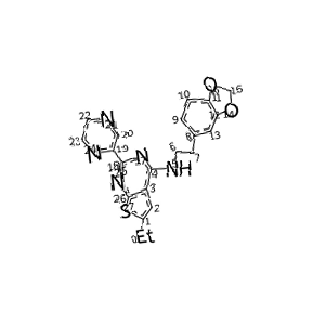 CCc1cc2c(NCCc3ccc4c(c3)OCO4)nc(-c3cnccn3)nc2s1